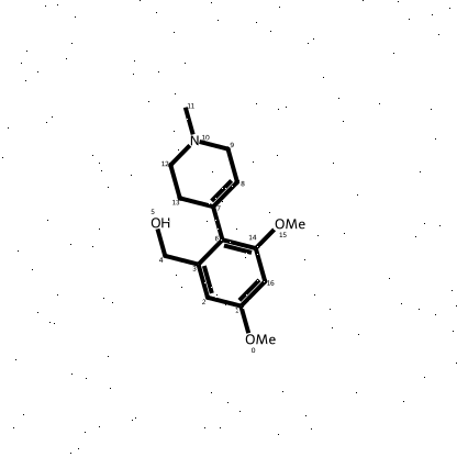 COc1cc(CO)c(C2=CCN(C)CC2)c(OC)c1